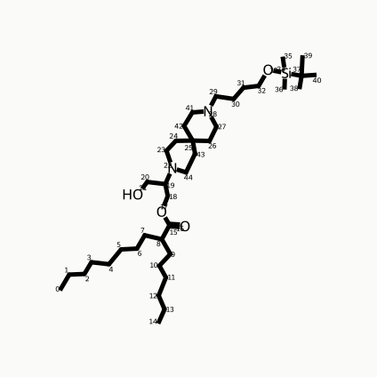 CCCCCCCCC(CCCCCC)C(=O)OCC(CO)N1CCC2(CCN(CCCCO[Si](C)(C)C(C)(C)C)CC2)CC1